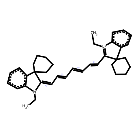 CCN1/C(=C/C=C/C=C/C=C/C2=[N+](CC)c3ccccc3C23CCCCC3)C2(CCCCC2)c2ccccc21